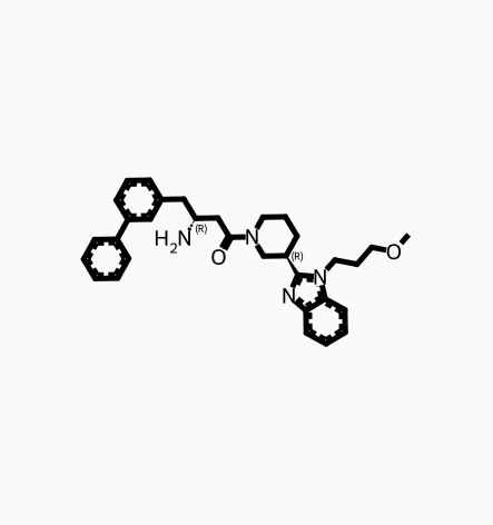 COCCCn1c([C@@H]2CCCN(C(=O)C[C@H](N)Cc3cccc(-c4ccccc4)c3)C2)nc2ccccc21